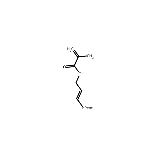 C=C(C)C(=O)OCC=CCCCCC